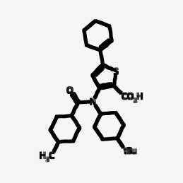 CC1CCC(C(=O)N(c2cc(C3=CCCCC3)sc2C(=O)O)C2CCC(C(C)(C)C)CC2)CC1